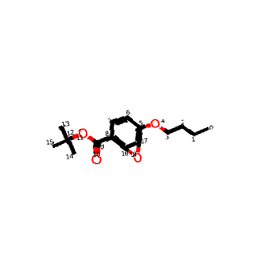 CCCCOc1ccc(C(=O)OC(C)(C)C)c2c1O2